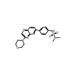 CN(C)S(=O)(=O)Nc1ccc(-c2ccc3ncc(N4CCOCC4)nc3c2)cc1